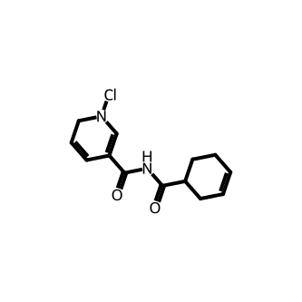 O=C(NC(=O)C1CC=CCC1)C1=CN(Cl)CC=C1